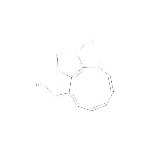 CCCOC1=CC=CC=CBC(OCCC)=C1OCCC